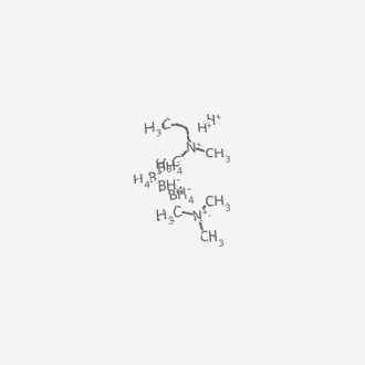 CC[N+](C)C.C[N+](C)C.[BH4-].[BH4-].[BH4-].[BH4-].[H+].[H+]